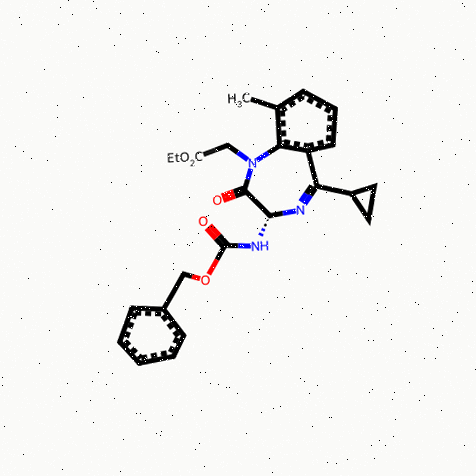 CCOC(=O)CN1C(=O)[C@@H](NC(=O)OCc2ccccc2)N=C(C2CC2)c2cccc(C)c21